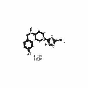 CN(Cc1ccc(Cl)cc1)C1CCN(c2nc(N)n[nH]2)CC1.Cl.Cl